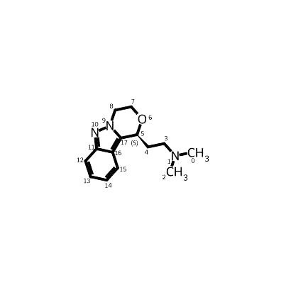 CN(C)CC[C@@H]1OCCn2nc3ccccc3c21